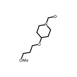 COCCCOC1CCN(C[O])CC1